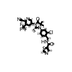 CC1(C)C(=O)N(c2cnc(C#N)c(C(F)(F)F)c2)C(=S)N1c1ccc(CNC(=O)c2cncs2)c(Cl)c1